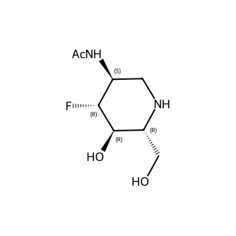 CC(=O)N[C@H]1CN[C@H](CO)[C@@H](O)[C@@H]1F